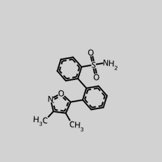 Cc1noc(-c2ccccc2-c2ccccc2S(N)(=O)=O)c1C